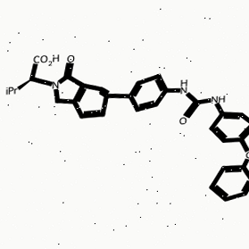 CC(C)[C@@H](C(=O)O)N1Cc2ccc(-c3ccc(NC(=O)Nc4ccc(Oc5ccccc5)cc4)cc3)cc2C1=O